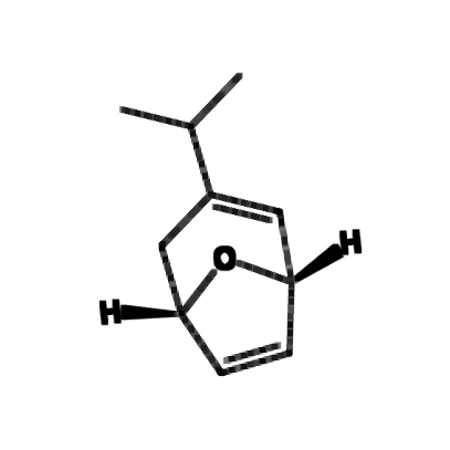 CC(C)C1=C[C@@H]2C=C[C@H](C1)O2